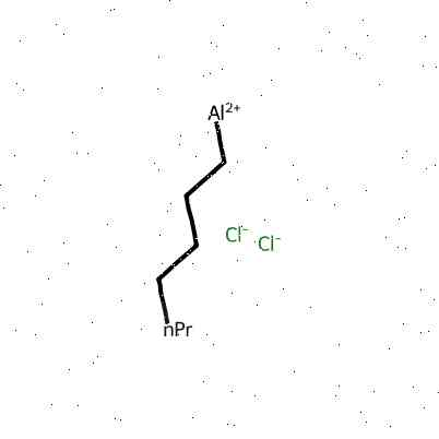 CCCCCC[CH2][Al+2].[Cl-].[Cl-]